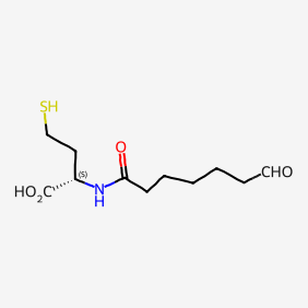 O=CCCCCCC(=O)N[C@@H](CCS)C(=O)O